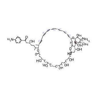 CC1/C=C/C=C/C=C\C=C/C=C/C=C/C=C/C(OC2OC[C@@H](O)[C@H](N)[C@@H]2O)C[C@@H]2OC(O)(CC(O)CC(O)CC(O)CCCC(O)CC(O)CC(=O)OC1C(C)CCC(O)CC(=O)c1ccc(N)cc1)CC(O)C2C(=O)O